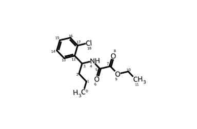 CCCC(NC(=O)C(=O)OCC)c1ccccc1Cl